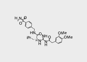 COc1ccc(CC(=O)NC(=N)N[C@H](CC(C)C)C(=O)NCc2ccc(S(N)(=O)=O)cc2)cc1OC